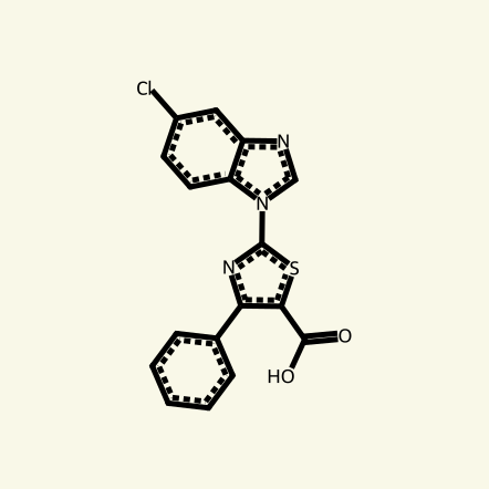 O=C(O)c1sc(-n2cnc3cc(Cl)ccc32)nc1-c1ccccc1